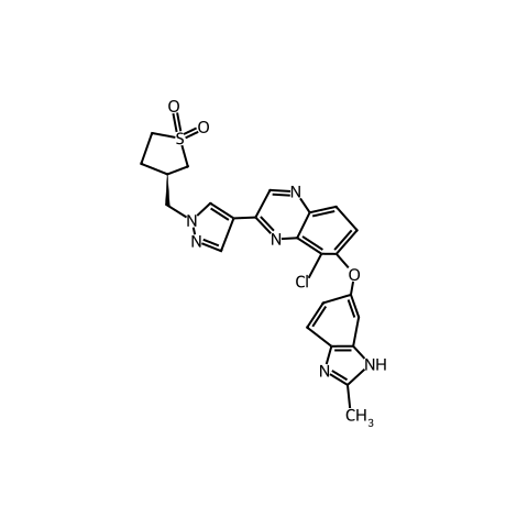 Cc1nc2ccc(Oc3ccc4ncc(-c5cnn(C[C@H]6CCS(=O)(=O)C6)c5)nc4c3Cl)cc2[nH]1